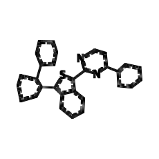 c1ccc(-c2ccnc(-c3sc(-c4ccccc4-c4ccccc4)c4ccccc34)n2)cc1